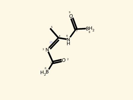 BC(=O)/N=C(/C)NC(B)=O